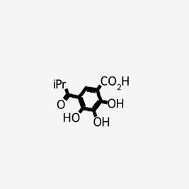 CC(C)C(=O)c1cc(C(=O)O)c(O)c(O)c1O